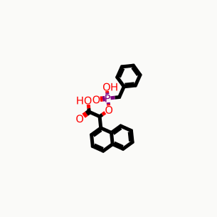 O=C(O)C(OP(=O)(O)Cc1ccccc1)c1cccc2ccccc12